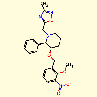 COc1c(CO[C@@H]2CCCN(Cc3nc(C)no3)[C@@H]2c2ccccc2)cccc1[N+](=O)[O-]